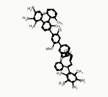 Bc1cc(N)c(B)c(B)c1-c1ccc(-c2cc(OC)c(-c3ccc4\c5c(=C)n(c4c3)-c3ccccc3/C(c3c(B)c(B)c(B)c(B)c3C)=C\C=5)cc2CC)c(C)c1-c1ccccc1C